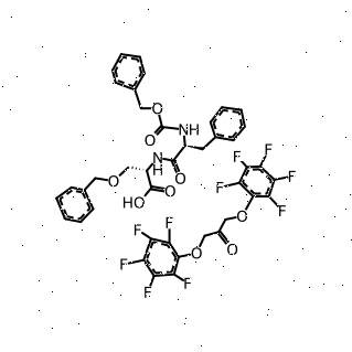 O=C(COc1c(F)c(F)c(F)c(F)c1F)COc1c(F)c(F)c(F)c(F)c1F.O=C(N[C@@H](Cc1ccccc1)C(=O)N[C@@H](COCc1ccccc1)C(=O)O)OCc1ccccc1